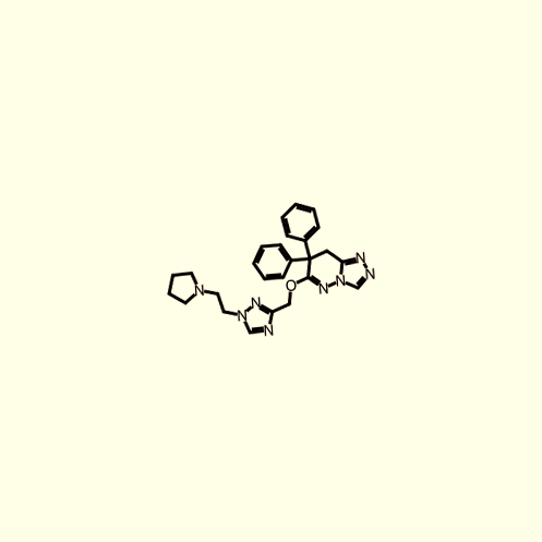 c1ccc(C2(c3ccccc3)Cc3nncn3N=C2OCc2ncn(CCN3CCCC3)n2)cc1